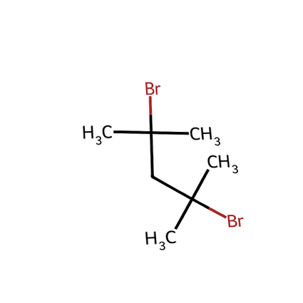 CC(C)(Br)CC(C)(C)Br